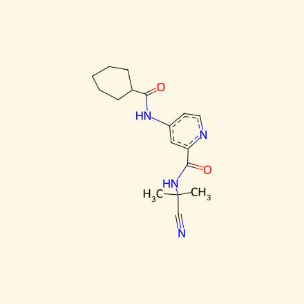 CC(C)(C#N)NC(=O)c1cc(NC(=O)C2CCCCC2)ccn1